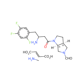 CN.NC(CC(=O)N1CC[C@H]2CN(C=O)C[C@H]21)Cc1cc(F)c(F)cc1F.O=C(O)C=CC(=O)O